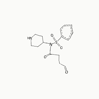 O=CCCC(=O)N(C1CCNCC1)S(=O)(=O)c1ccccc1